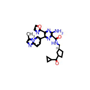 Cc1cnc2ccc(-c3nc(C(=O)NC[C@H]4CCC(C(=O)C5CC5)C4)c(N)nc3-c3ncco3)cn12